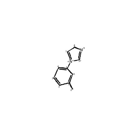 Cc1cccc([N+]2=CCN=C2)c1